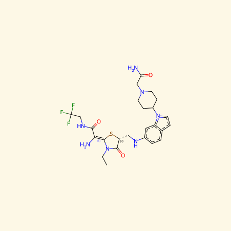 CCN1C(=O)[C@@H](CNc2ccc3ccn(C4CCN(CC(N)=O)CC4)c3c2)S/C1=C(/N)C(=O)NCC(F)(F)F